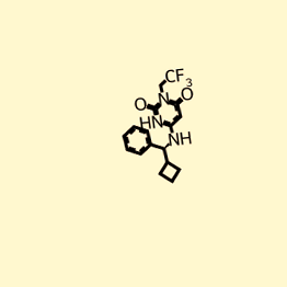 O=c1cc(N[C@H](c2ccccc2)C2CCC2)[nH]c(=O)n1CC(F)(F)F